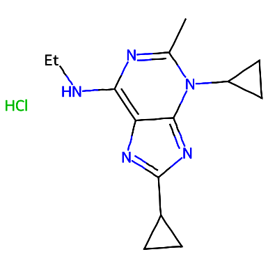 CCNc1nc(C)n(C2CC2)c2nc(C3CC3)nc1-2.Cl